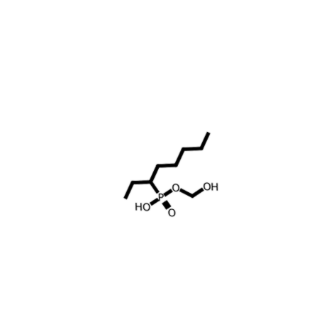 CCCCCC(CC)P(=O)(O)OCO